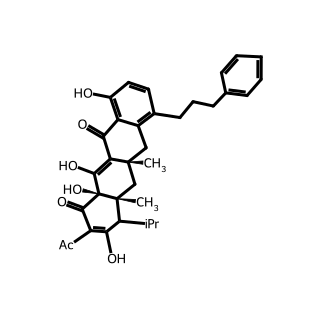 CC(=O)C1=C(O)C(C(C)C)[C@@]2(C)C[C@@]3(C)Cc4c(CCCc5ccccc5)ccc(O)c4C(=O)C3=C(O)[C@@]2(O)C1=O